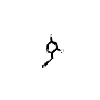 N#CCc1ncc(F)cc1Cl